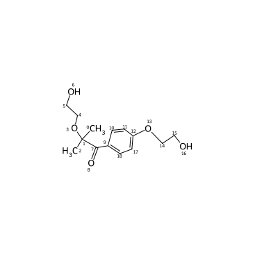 CC(C)(OCCO)C(=O)c1ccc(OCCO)cc1